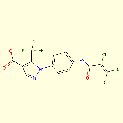 O=C(Nc1ccc(-n2ncc(C(=O)O)c2C(F)(F)F)cc1)C(Cl)=C(Cl)Cl